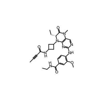 CC#CC(=O)NC1CC(N2c3nc(Nc4ccc(C(=O)NCC)cc4OC)ncc3N(C)C(=O)[C@H]2CC)C1